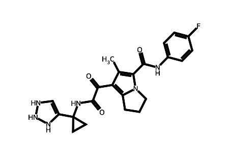 Cc1c(C(=O)C(=O)NC2(C3=CNNN3)CC2)c2n(c1C(=O)Nc1ccc(F)cc1)CCC2